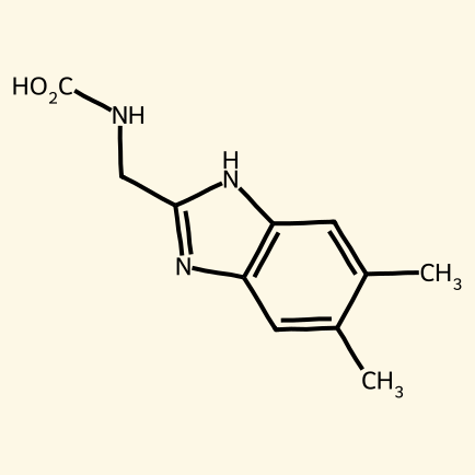 Cc1cc2nc(CNC(=O)O)[nH]c2cc1C